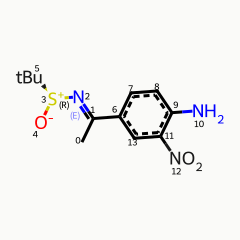 C/C(=N\[S@@+]([O-])C(C)(C)C)c1ccc(N)c([N+](=O)[O-])c1